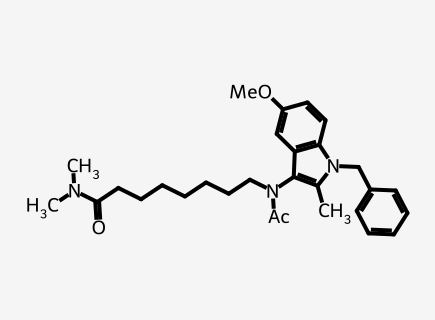 COc1ccc2c(c1)c(N(CCCCCCCC(=O)N(C)C)C(C)=O)c(C)n2Cc1ccccc1